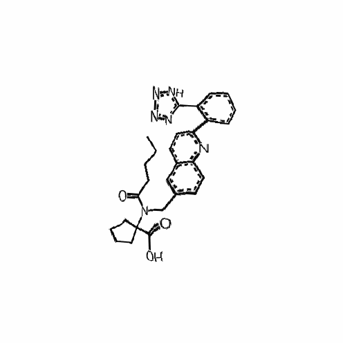 CCCCC(=O)N(Cc1ccc2nc(-c3ccccc3-c3nnn[nH]3)ccc2c1)C1(C(=O)O)CCCC1